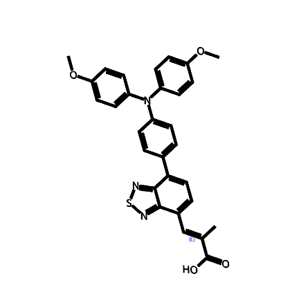 COc1ccc(N(c2ccc(OC)cc2)c2ccc(-c3ccc(/C=C(\C)C(=O)O)c4nsnc34)cc2)cc1